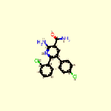 NC(=O)c1cc(-c2ccc(Cl)cc2)c(-c2ccccc2Cl)nc1N